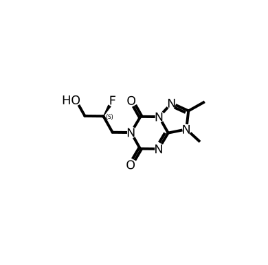 Cc1nn2c(=O)n(C[C@H](F)CO)c(=O)nc2n1C